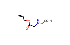 C=CCOC(=O)CNCC(=O)O